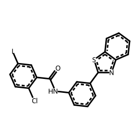 O=C(Nc1cccc(-c2nc3ccccc3s2)c1)c1cc(I)ccc1Cl